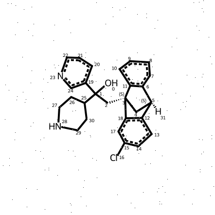 OC(C[C@@]12C[C@@H](c3ccccc31)c1ccc(Cl)cc12)(c1cccnc1)C1CCNCC1